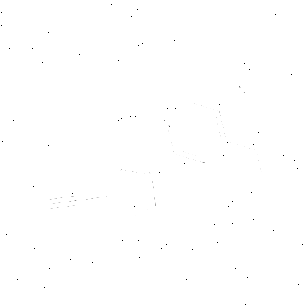 CCc1cc(N2CCC(C#N)C2)ncc1N